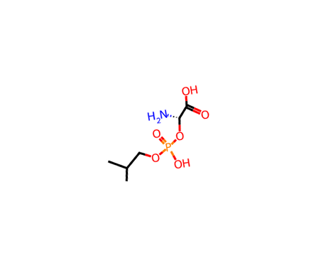 CC(C)COP(=O)(O)O[C@H](N)C(=O)O